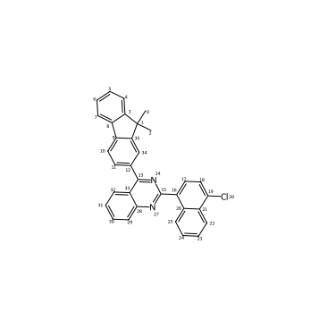 CC1(C)c2ccccc2-c2ccc(-c3nc(-c4ccc(Cl)c5ccccc45)nc4ccccc34)cc21